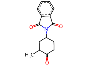 CC1CC(N2C(=O)c3ccccc3C2=O)CCC1=O